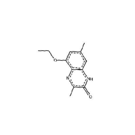 CCOc1cc(C)cc2[nH]c(=O)c(C)nc12